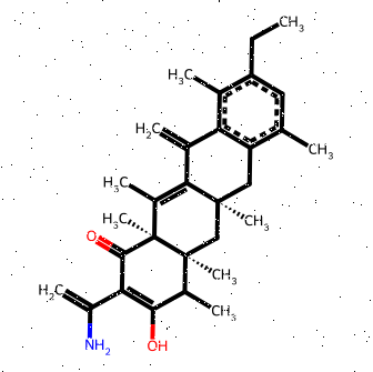 C=C(N)C1=C(O)C(C)[C@]2(C)C[C@]3(C)Cc4c(C)cc(CC)c(C)c4C(=C)C3=C(C)[C@]2(C)C1=O